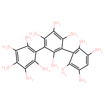 Bc1cc(B)c(B)c(-c2c(B)c(B)c(B)c(-c3c(B)c(B)c(B)c(B)c3B)c2B)c1B